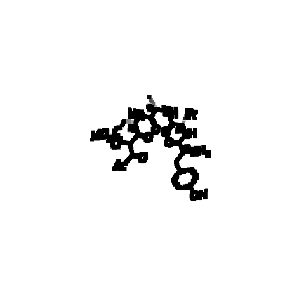 CC(=O)C(=O)C(Cl)C(=O)[C@H](CC(=O)O)NC(=O)[C@H](C)NC(=O)[C@@H](NC(=O)[C@@H](N)Cc1ccc(O)cc1)C(C)C